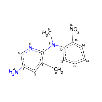 Cc1cc(N)cnc1N(C)c1ccccc1[N+](=O)[O-]